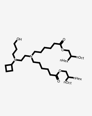 CCCCCCCCC(CCCCCC)COC(=O)CCCCCN(CCCCCC(=O)OCC(CCCCCC)CCCCCCCC)CCN(CCCO)C1CCC1